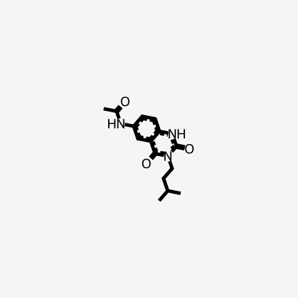 CC(=O)Nc1ccc2[nH]c(=O)n(CCC(C)C)c(=O)c2c1